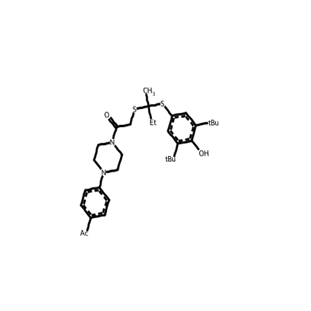 CCC(C)(SCC(=O)N1CCN(c2ccc(C(C)=O)cc2)CC1)Sc1cc(C(C)(C)C)c(O)c(C(C)(C)C)c1